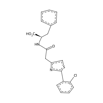 O=C(Cc1csc(-c2ccccc2Cl)n1)N[C@H](Cc1ccccc1)C(=O)O